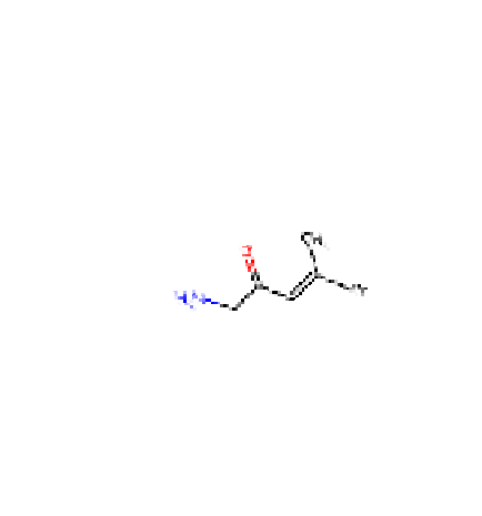 CC(=CC(=O)CN)C(C)C